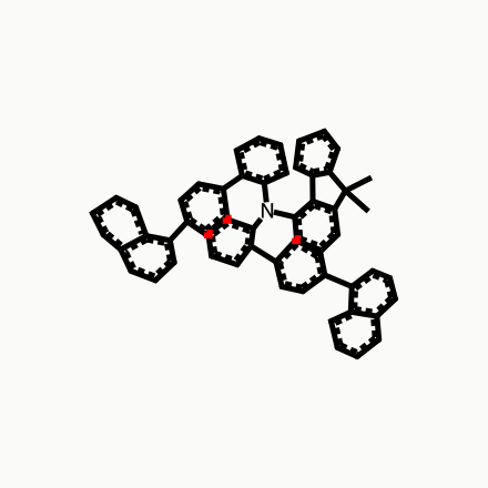 CC1(C)c2ccccc2-c2c(N(c3ccccc3-c3ccc(-c4cccc5ccccc45)cc3)c3ccccc3-c3ccc(-c4cccc5ccccc45)cc3)cccc21